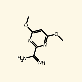 COc1cc(OC)nc(C(=N)N)n1